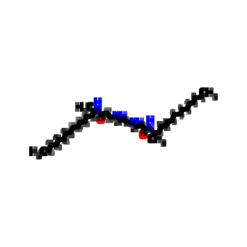 CCCCCCCCCCCCCCC(C)NC(=O)CCNCCCNCCC(=O)NC(C)CCCCCCCCCCCCCC